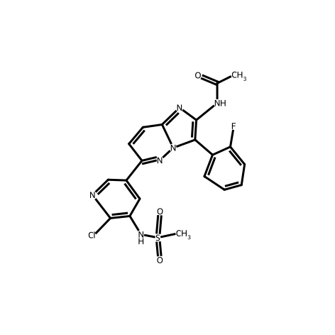 CC(=O)Nc1nc2ccc(-c3cnc(Cl)c(NS(C)(=O)=O)c3)nn2c1-c1ccccc1F